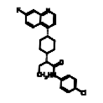 CCC(C(=O)Nc1ccc(Cl)cc1)[C@H]1CC[C@@H](c2ccnc3cc(F)ccc32)CC1